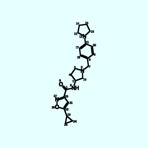 O=C(NC1CCN(Cc2ccc(N3CCCC3)cc2)C1)c1cc(C2CC2)on1